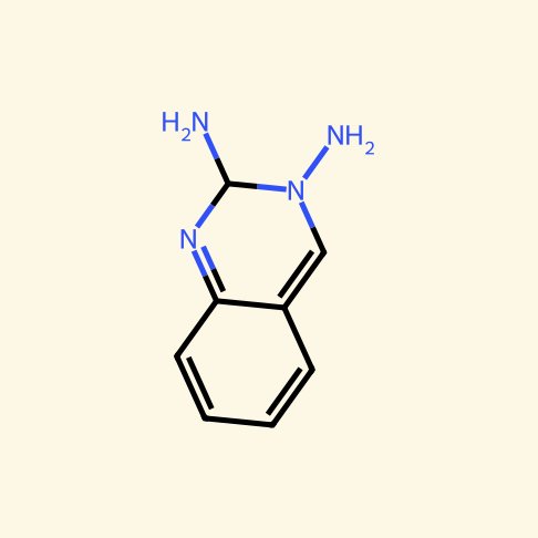 NC1N=c2ccccc2=CN1N